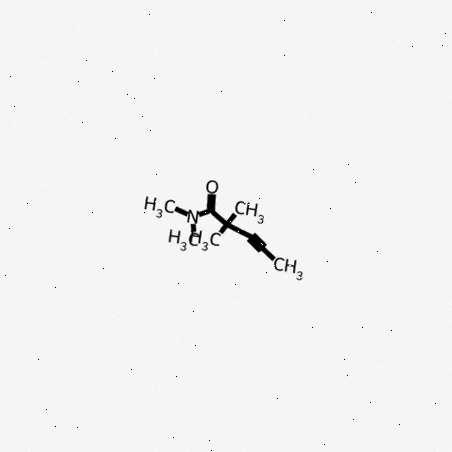 CC#CC(C)(C)C(=O)N(C)C